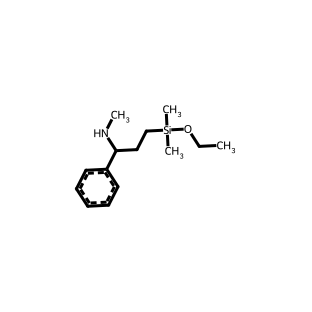 CCO[Si](C)(C)CCC(NC)c1ccccc1